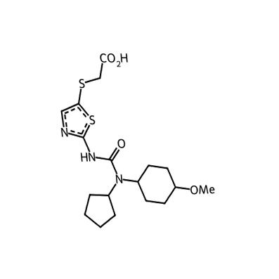 COC1CCC(N(C(=O)Nc2ncc(SCC(=O)O)s2)C2CCCC2)CC1